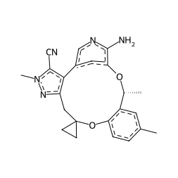 Cc1ccc2c(c1)[C@@H](C)Oc1cc(cnc1N)-c1c(nn(C)c1C#N)CC1(CC1)O2